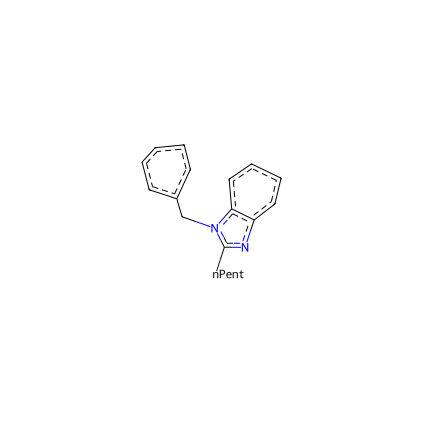 CCCCCc1nc2ccccc2n1Cc1ccccc1